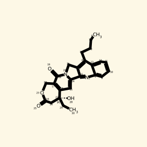 CCCCc1c2c(nc3ccccc13)-c1cc3c(c(=O)n1C2)COC(=O)C[C@]3(O)CC